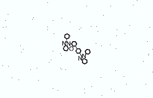 c1ccc(-c2nc3cccc4c3n2-c2cccc(-c3ccc(-c5nc6ccccc6n5-c5ccccc5)cc3)c2O4)cc1